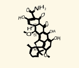 COc1cc(O)c2c(O)c3c(c4c2c1[C@@]1(C4)C(C)=CCCC1(C)C)[C@@H](OC)[C@H]1CC(O)=C(C(N)=O)C(=O)C1C3=O